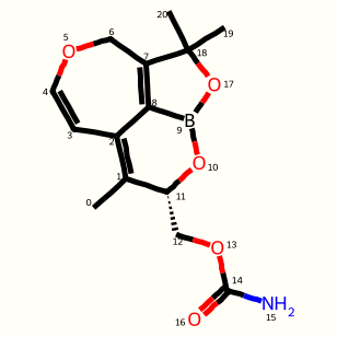 CC1=C2C=COCC3=C2B(O[C@@H]1COC(N)=O)OC3(C)C